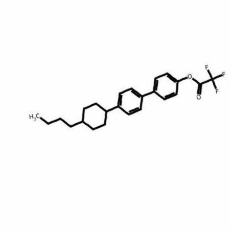 CCCCC1CCC(c2ccc(-c3ccc(OC(=O)C(F)(F)F)cc3)cc2)CC1